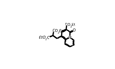 CCOC(=O)c1cc(CC(C(=O)OCC)C(=O)OCC)c2ccccn2c1=O